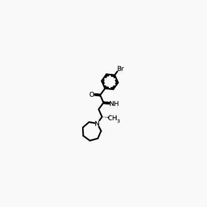 C[C@@H](CC(=N)C(=O)c1ccc(Br)cc1)N1CCCCCC1